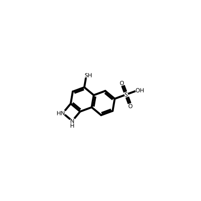 O=S(=O)(O)c1ccc2c(c1)c(S)cc1[nH][nH]c12